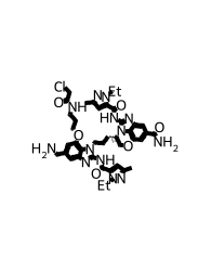 CCn1nc(C)cc1C(=O)Nc1nc2cc(CN)cc(OCCCNC(=O)CCl)c2n1CCC[C@H]1COc2cc(C(N)=O)cc3nc(NC(=O)c4cc(C)nn4CC)n1c23